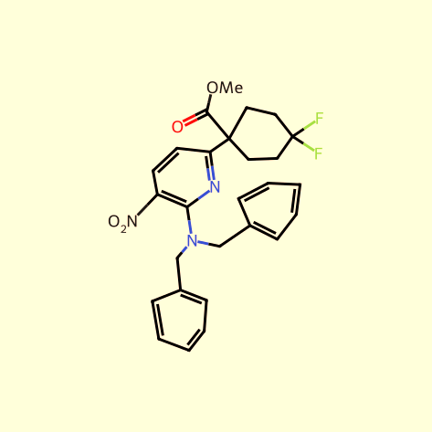 COC(=O)C1(c2ccc([N+](=O)[O-])c(N(Cc3ccccc3)Cc3ccccc3)n2)CCC(F)(F)CC1